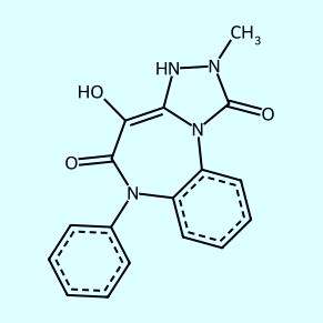 CN1NC2=C(O)C(=O)N(c3ccccc3)c3ccccc3N2C1=O